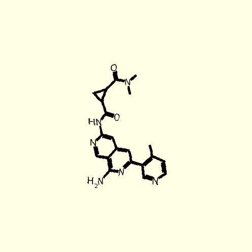 Cc1ccncc1-c1cc2cc(NC(=O)C3CC3C(=O)N(C)C)ncc2c(N)n1